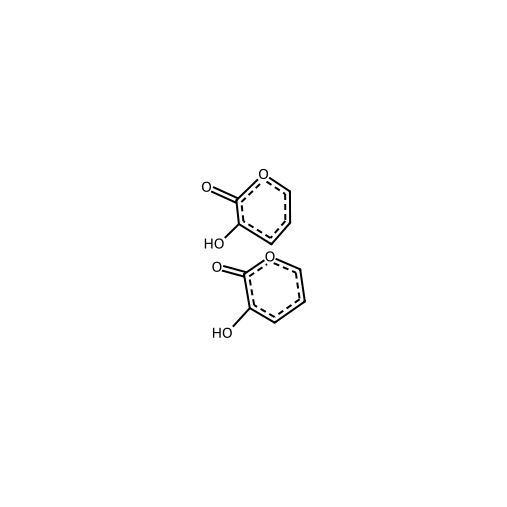 O=c1occcc1O.O=c1occcc1O